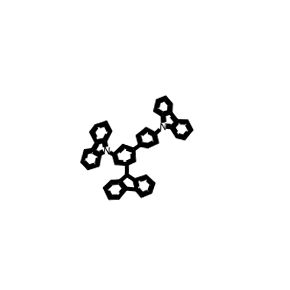 c1ccc2c(c1)-c1ccccc1C2c1cc(-c2ccc(-n3c4ccccc4c4ccccc43)cc2)cc(-n2c3ccccc3c3ccccc32)c1